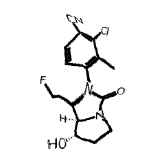 Cc1c(N2C(=O)N3CC[C@H](O)[C@H]3C2CF)ccc(C#N)c1Cl